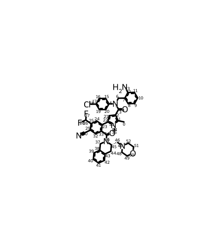 Cc1c(C(=O)N(Cc2ccccc2N)c2ccc(Cl)cc2)cc(-c2cc(C(F)F)c(C#N)cc2C(=O)N2Cc3ccccc3C[C@H]2CN2CCOCC2)n1C